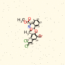 CO/N=C(/C(=O)OC)c1ccccc1COc1ccc(C=C(Cl)Cl)cc1Br